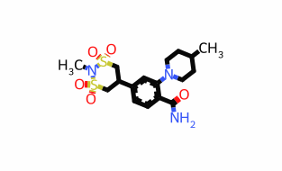 CC1CCN(c2cc(C3CS(=O)(=O)N(C)S(=O)(=O)C3)ccc2C(N)=O)CC1